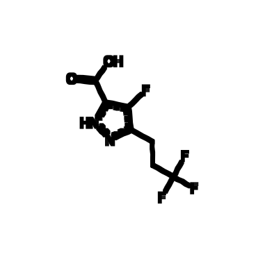 O=C(O)c1[nH]nc(CCC(F)(F)F)c1F